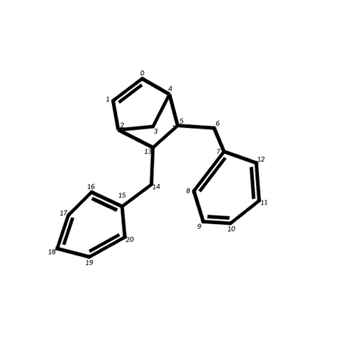 C1=CC2CC1[C](Cc1ccccc1)C2Cc1ccccc1